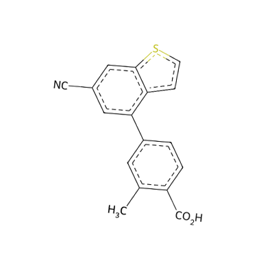 Cc1cc(-c2cc(C#N)cc3sccc23)ccc1C(=O)O